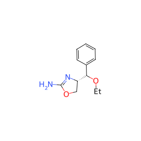 CCOC(c1ccccc1)[C@@H]1COC(N)=N1